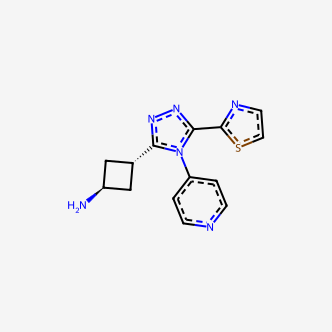 N[C@H]1C[C@H](c2nnc(-c3nccs3)n2-c2ccncc2)C1